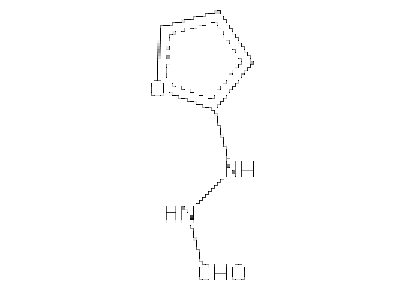 O=CNNc1ccco1